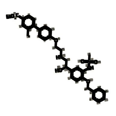 CCOC(=O)c1ccc(-c2ccc(OCCNC[C@H](O)c3ccc(OCc4ccccc4)c(NS(C)(=O)=O)c3)cc2)c(C)c1